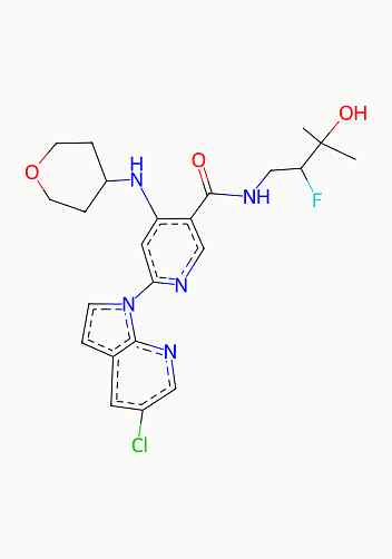 CC(C)(O)C(F)CNC(=O)c1cnc(-n2ccc3cc(Cl)cnc32)cc1NC1CCOCC1